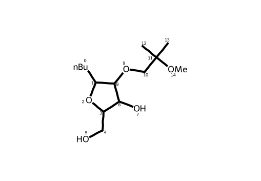 CCCCC1OC(CO)C(O)C1OCC(C)(C)OC